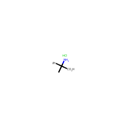 CC(C)C(C)(N)C(=O)O.Cl